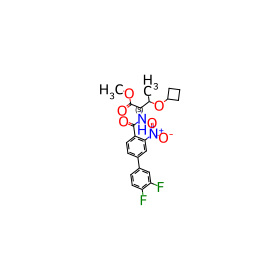 COC(=O)[C@@H](NC(=O)c1ccc(-c2ccc(F)c(F)c2)cc1[N+](=O)[O-])C(C)OC1CCC1